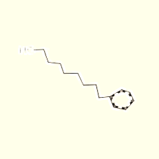 O[CH]CCCCCCCc1ccccc1